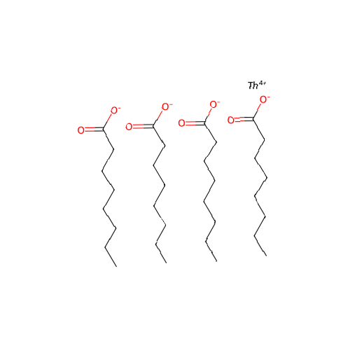 CCCCCCCC(=O)[O-].CCCCCCCC(=O)[O-].CCCCCCCC(=O)[O-].CCCCCCCC(=O)[O-].[Th+4]